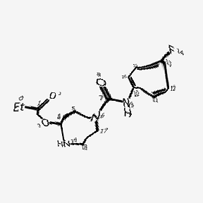 CCC(=O)OC1CN(C(=O)Nc2ccc(F)cc2)CCN1